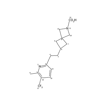 Cc1nc(CCC2CC3(C2)CN(C(=O)O)C3)ccc1C(F)(F)F